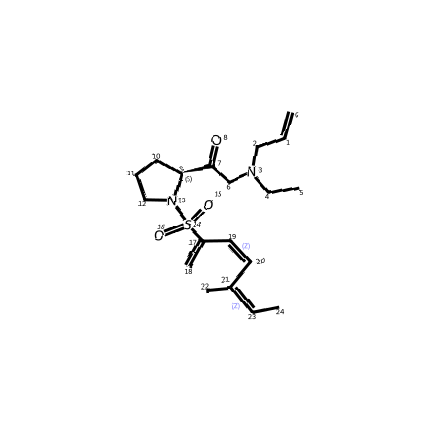 C=CCN(CC)CC(=O)[C@@H]1CCCN1S(=O)(=O)C(=C)/C=C\C(C)=C/C